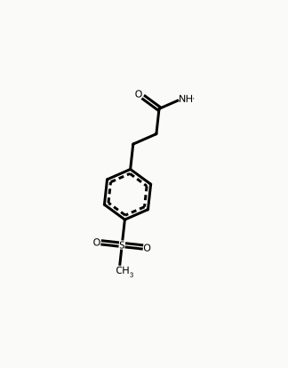 CS(=O)(=O)c1ccc(CCC([NH])=O)cc1